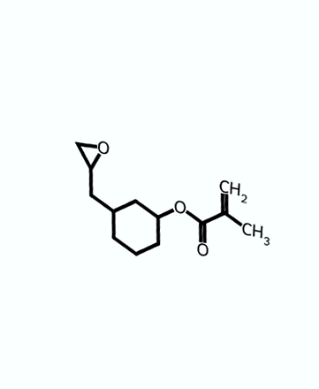 C=C(C)C(=O)OC1CCCC(CC2CO2)C1